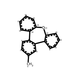 Cc1ccc2c(c1)-c1ccccc1Oc1ccccc1-2